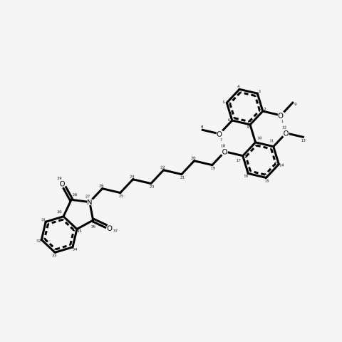 COc1cccc(OC)c1-c1c(OC)cccc1OCCCCCCCCN1C(=O)c2ccccc2C1=O